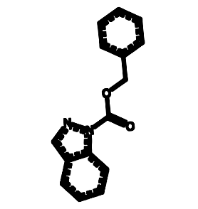 O=C(OCc1ccccc1)n1ncc2ccccc21